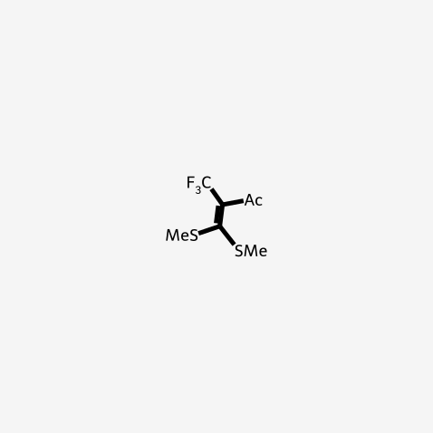 CSC(SC)=C(C(C)=O)C(F)(F)F